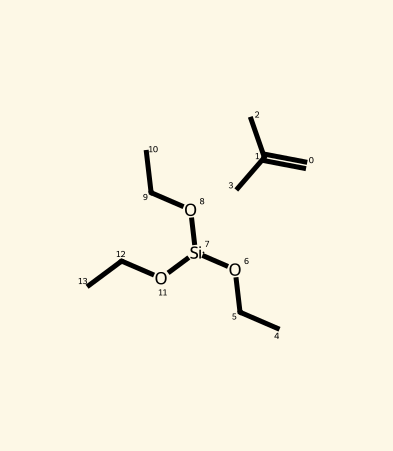 C=C(C)C.CCO[Si](OCC)OCC